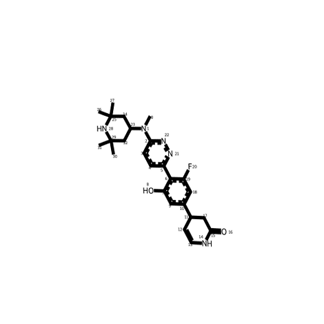 CN(c1ccc(-c2c(O)cc(C3C=CNC(=O)C3)cc2F)nn1)C1CC(C)(C)NC(C)(C)C1